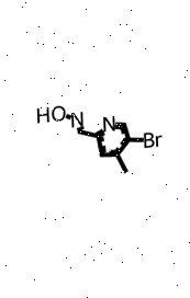 Cc1cc(/C=N/O)ncc1Br